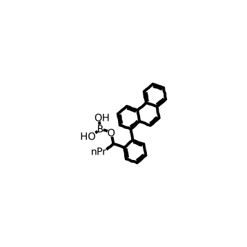 CCCC(OB(O)O)c1ccccc1-c1cccc2c1ccc1ccccc12